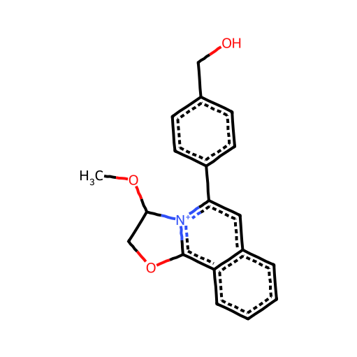 COC1COc2c3ccccc3cc(-c3ccc(CO)cc3)[n+]21